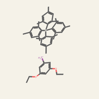 CCOc1cc([PH3+])cc(OCC)c1.Cc1cc(C)c([B-](c2c(C)cc(C)cc2C)(c2c(C)cc(C)cc2C)c2c(C)cc(C)cc2C)c(C)c1